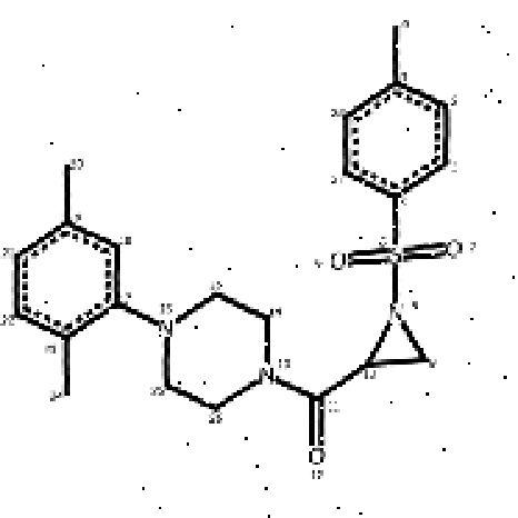 Cc1ccc(S(=O)(=O)N2CC2C(=O)N2CCN(c3cc(C)ccc3C)CC2)cc1